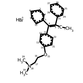 Br.CCC(=C(c1ccccc1)c1ccc(OCCN(C)C)cc1)c1ccccc1